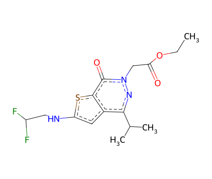 CCOC(=O)Cn1nc(C(C)C)c2cc(NCC(F)F)sc2c1=O